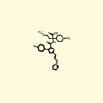 CSCC[C@@](NC(=O)c1sc(C=CCn2ccnc2)cc1-c1ccc(F)cc1)(C(=O)O)C1CCN(C)CC1